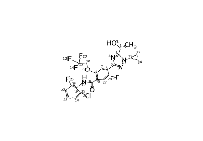 C[C@@H](O)c1nc(-c2cc(OCC(F)(F)F)c(C(=O)Nc3c(F)cccc3Cl)cc2F)nn1C1CC1